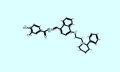 O=C(N/N=C/c1ccc(OCCN2CCCCC2c2ccccc2)c2ccccc12)c1ccc(O)c(Cl)c1